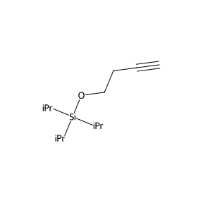 C#CCCO[Si](C(C)C)(C(C)C)C(C)C